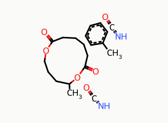 CC1CCCOC(=O)CCCCC(=O)O1.Cc1ccccc1.N=C=O.N=C=O